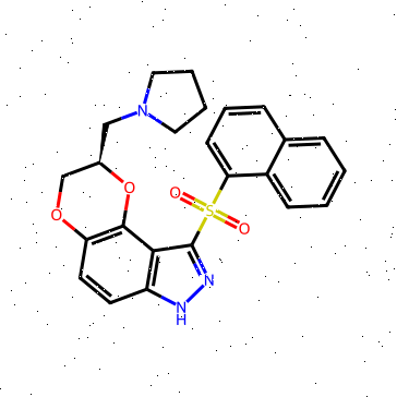 O=S(=O)(c1cccc2ccccc12)c1n[nH]c2ccc3c(c12)O[C@H](CN1CCCC1)CO3